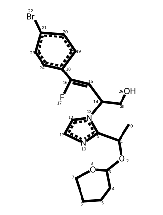 CC(OC1CCCCO1)c1nccn1C(/C=C(\F)c1ccc(Br)cc1)CO